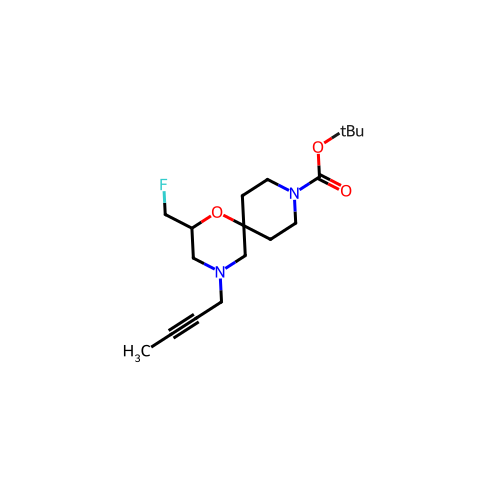 CC#CCN1CC(CF)OC2(CCN(C(=O)OC(C)(C)C)CC2)C1